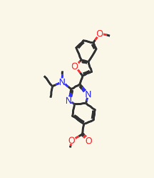 COC(=O)C1=CC2N=C(N(C)C(C)C)C(c3cc4cc(OC)ccc4o3)=NC2C=C1